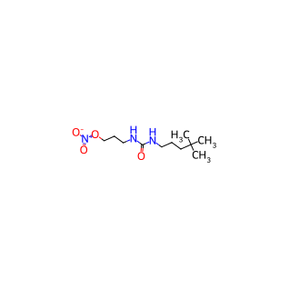 CC(C)(C)CCCNC(=O)NCCCO[N+](=O)[O-]